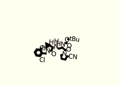 CC(C)(C)OC(=O)NC(CN[C@@H]1C(=O)N(Cc2c(Cl)cccc2Cl)[C@@H]2C[C@@H]12)C(=O)N1CCCC1C#N